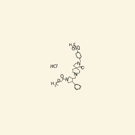 COCC(=O)N1CC(CN2CCC3(CC2)CCN(Cc2ccc(S(C)(=O)=O)cc2)C3=O)C(c2ccccc2)C1.Cl